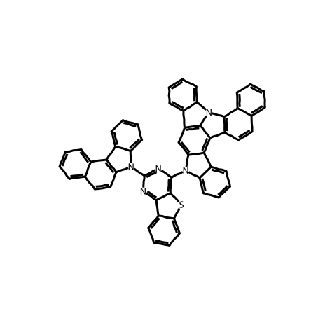 c1ccc2c(c1)ccc1c2c2ccccc2n1-c1nc(-n2c3ccccc3c3c4c5ccc6ccccc6c5n5c6ccccc6c(cc32)c45)c2sc3ccccc3c2n1